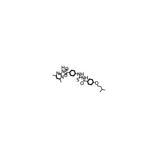 Cc1cc(C)nc(NS(=O)(=O)c2ccc(NC(=S)NC(=O)c3ccc(OCCC(C)C)cc3)cc2)n1